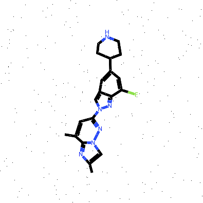 Cc1cn2nc(-n3cc4cc(C5CCNCC5)cc(F)c4n3)cc(C)c2n1